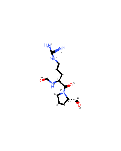 N=C(N)NCCC[C@H](NC=O)C(=O)N1CCC[C@H]1C=O